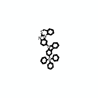 c1ccc([Si](c2ccccc2)(c2ccccc2)c2ccc3c(c2)c2ccccc2n3-c2ccc3nc4n(c3c2)-c2ccccc2CS4)cc1